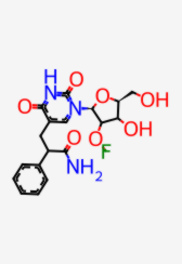 NC(=O)C(Cc1cn([C@H]2O[C@@H](CO)C(O)C2OF)c(=O)[nH]c1=O)c1ccccc1